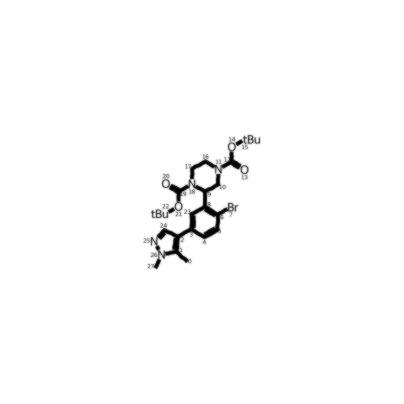 Cc1c(-c2ccc(Br)c(C3CN(C(=O)OC(C)(C)C)CCN3C(=O)OC(C)(C)C)c2)cnn1C